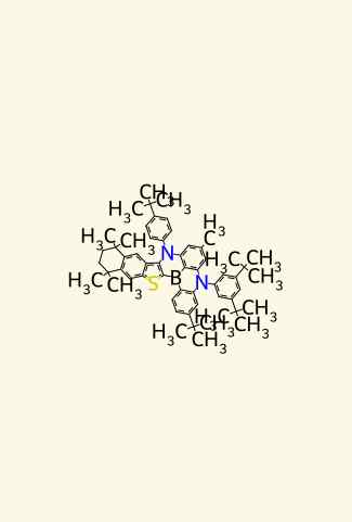 Cc1cc2c3c(c1)N(c1ccc(C(C)(C)C)cc1)c1c(sc4cc5c(cc14)C(C)(C)CCC5(C)C)B3c1ccc(C(C)(C)C)cc1N2c1cc(C(C)(C)C)cc(C(C)(C)C)c1